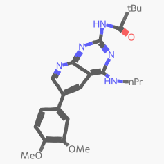 CCCNc1nc(NC(=O)C(C)(C)C)nc2ncc(-c3ccc(OC)c(OC)c3)cc12